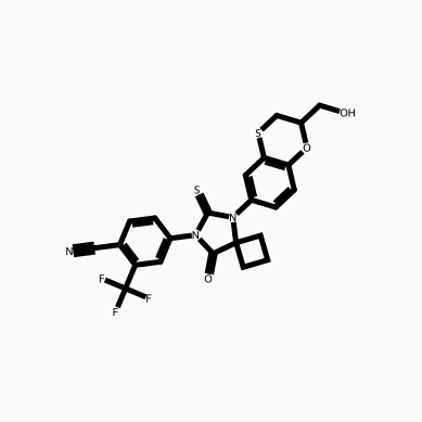 N#Cc1ccc(N2C(=O)C3(CCC3)N(c3ccc4c(c3)SCC(CO)O4)C2=S)cc1C(F)(F)F